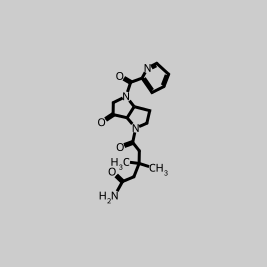 CC(C)(CC(N)=O)CC(=O)N1CCC2C1C(=O)CN2C(=O)c1ccccn1